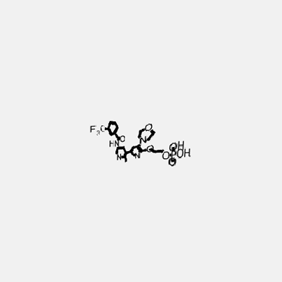 Cc1ncc(NC(=O)c2cccc(C(F)(F)F)c2)cc1-c1cnc(OCCOP(=O)(O)O)c(N2CCOCC2)c1